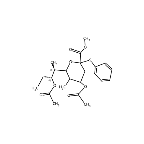 CC[C@@H](OC(C)=O)[C@@H](C)C1OC(Sc2ccccc2)(C(=O)OC)CC(OC(C)=O)C1C